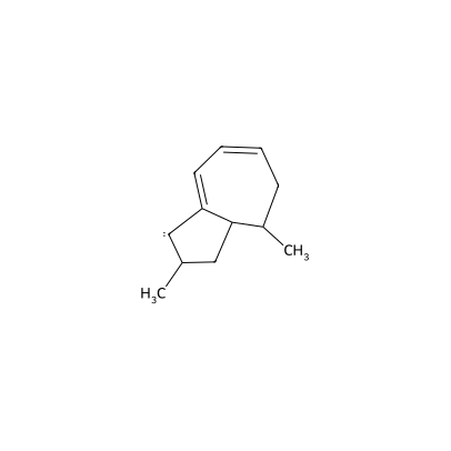 CC1[C]C2=CC=CCC(C)C2C1